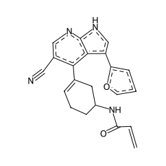 C=CC(=O)NC1CCC=C(c2c(C#N)cnc3[nH]cc(-c4ccco4)c23)C1